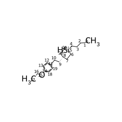 CCCCC[Si@H]1CC[C@H](CCc2ccc(OCC)cc2)CC1